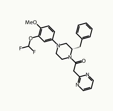 COc1ccc(N2CCN(C(=O)Cc3ncccn3)[C@@H](Cc3ccccc3)C2)cc1OC(F)F